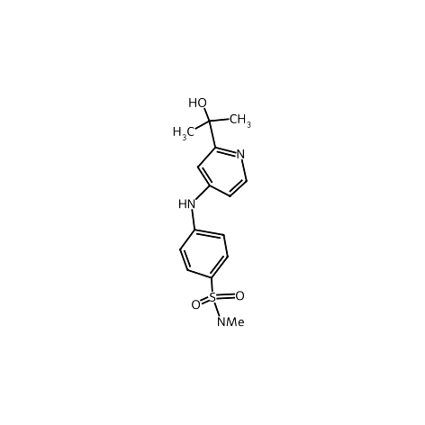 CNS(=O)(=O)c1ccc(Nc2ccnc(C(C)(C)O)c2)cc1